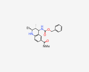 CC[C@@H]1Nc2ccc(C(=O)NC)cc2C(NC(=O)OCc2ccccc2)[C@H]1C